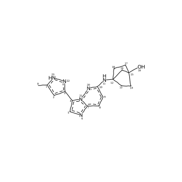 Cc1cc(-c2cnc3ccc(NC45CCC(O)(CC4)C5)nn23)n[nH]1